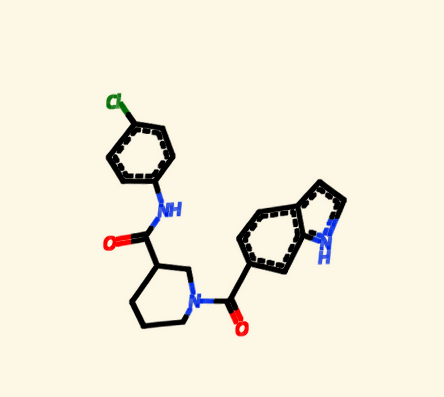 O=C(Nc1ccc(Cl)cc1)C1CCCN(C(=O)c2ccc3cc[nH]c3c2)C1